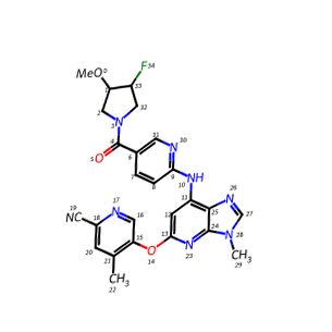 COC1CN(C(=O)c2ccc(Nc3cc(Oc4cnc(C#N)cc4C)nc4c3ncn4C)nc2)CC1F